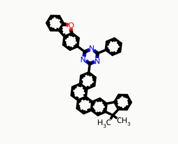 CC1(C)c2ccccc2-c2cc3c(ccc4ccc5cc(-c6nc(-c7ccccc7)nc(-c7ccc8c(c7)oc7ccccc78)n6)ccc5c43)cc21